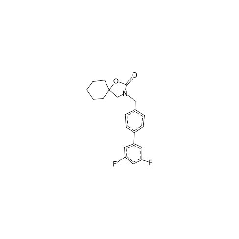 O=C1OC2(CCCCC2)CN1Cc1ccc(-c2cc(F)cc(F)c2)cc1